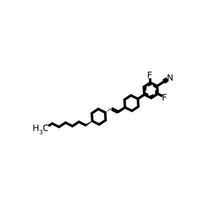 CCCCCCC[C@H]1CC[C@H](/C=C/C2CCC(c3cc(F)c(C#N)c(F)c3)CC2)CC1